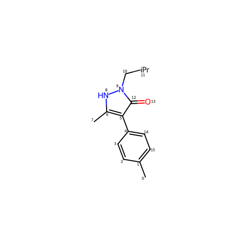 Cc1ccc(-c2c(C)[nH]n(CC(C)C)c2=O)cc1